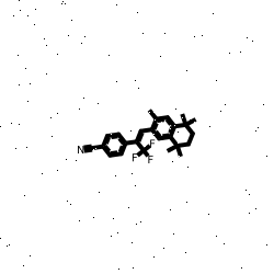 Cc1cc2c(cc1C=C(c1ccc(C#N)cc1)C(F)(F)F)C(C)(C)CCC2(C)C